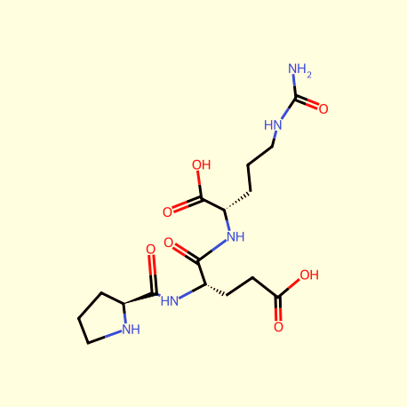 NC(=O)NCCC[C@H](NC(=O)[C@H](CCC(=O)O)NC(=O)[C@@H]1CCCN1)C(=O)O